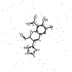 O=CC1Oc2c(cc(Br)c(O)c2[N+](=O)[O-])C=C1c1nnn[nH]1